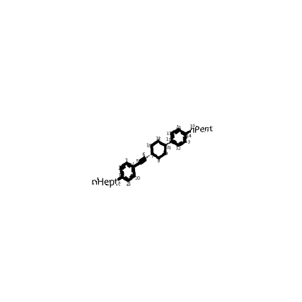 CCCCCCCc1ccc(C#C[C@H]2CC[C@H](c3ccc(CCCCC)cc3)CC2)cc1